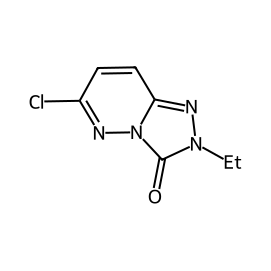 CCn1nc2ccc(Cl)nn2c1=O